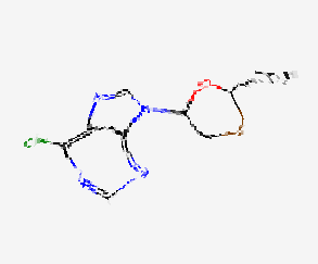 O=C(O)C1OC(n2cnc3c(Cl)ncnc32)CS1